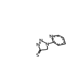 S=C1CN(c2ccccn2)N=N1